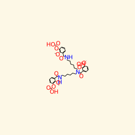 COc1cccc(C(=O)N(CCCCCCNC(=O)c2cccc(OC(=O)O)c2OC)CCCCCCNC(=O)c2cccc(OC(=O)O)c2OC)c1OO